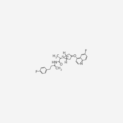 C=C(CCc1ccc(F)cc1)NC(=O)C(C)[C@H]1[C@@H]2C[C@@H](Oc3ccnc4ccc(F)cc34)C[C@@H]21